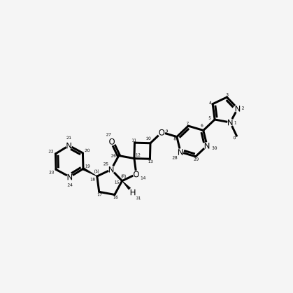 Cn1nccc1-c1cc(OC2CC3(C2)O[C@@H]2CC[C@@H](c4cnccn4)N2C3=O)ncn1